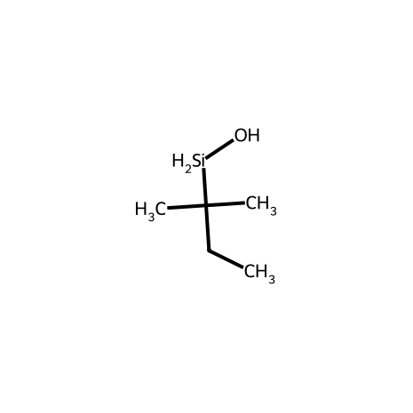 CCC(C)(C)[SiH2]O